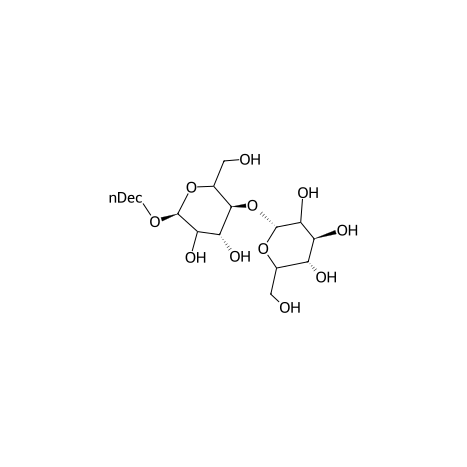 CCCCCCCCCCO[C@H]1OC(CO)[C@@H](O[C@H]2OC(CO)[C@@H](O)[C@H](O)C2O)[C@H](O)C1O